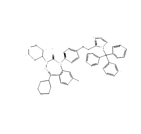 Cc1ccc2c(c1)N(c1ccc(CCc3nccn3C(c3ccccc3)(c3ccccc3)c3ccccc3)cc1)C(=O)N(C1CCOCC1)N=C2C1CCCCC1